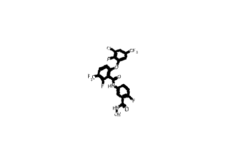 O=C(NO)c1cc(NC(=O)c2c(Oc3cc(C(F)(F)F)cc(Cl)c3F)ccc(C(F)(F)F)c2F)ccc1F